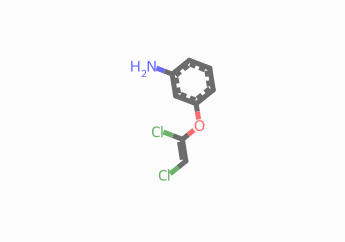 Nc1cccc(OC(Cl)=CCl)c1